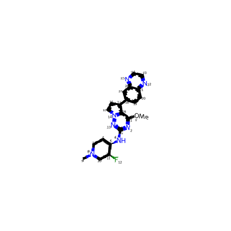 COc1nc(N[C@@H]2CCN(C)C[C@@H]2F)nn2ccc(-c3ccc4nccnc4c3)c12